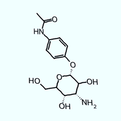 CC(=O)Nc1ccc(O[C@H]2OC(CO)[C@@H](O)[C@@H](N)C2O)cc1